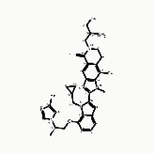 C[C@H](COc1cccc2cc(-c3nc4cc5c(c(F)c4n3C)CCN(C[C@H](N)CF)C5=O)n(CC3CC3)c12)n1cnc(F)c1